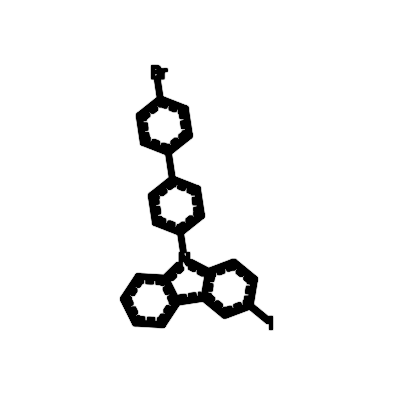 Brc1ccc(-c2ccc(-n3c4ccccc4c4cc(I)ccc43)cc2)cc1